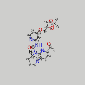 CC(=O)c1ccc2c(n1)N(C(=O)Nc1cc(OC[C@H]3COC(C)(C)O3)ccn1)[C@H]1CCCN2C1